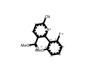 COC(=O)c1ccc(C#N)nc1-c1c(F)cccc1OC